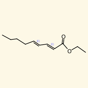 CCCC/C=C/C=C/C(=O)OCC